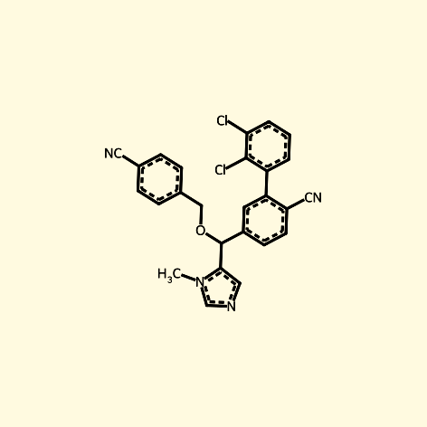 Cn1cncc1C(OCc1ccc(C#N)cc1)c1ccc(C#N)c(-c2cccc(Cl)c2Cl)c1